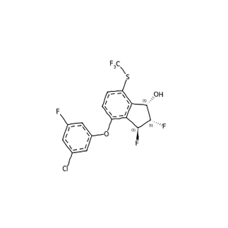 O[C@H]1c2c(SC(F)(F)F)ccc(Oc3cc(F)cc(Cl)c3)c2[C@H](F)[C@H]1F